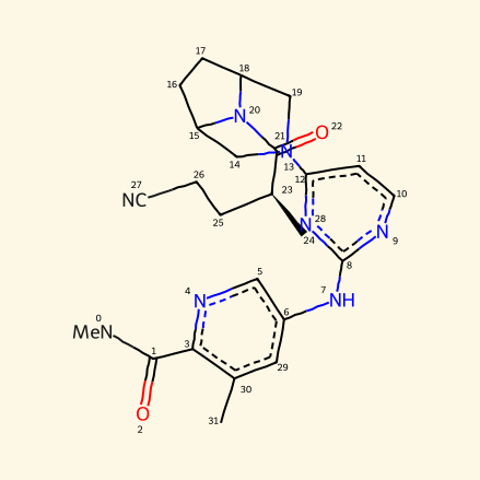 CNC(=O)c1ncc(Nc2nccc(N3CC4CCC(C3)N4C(=O)[C@@H](C)CCC#N)n2)cc1C